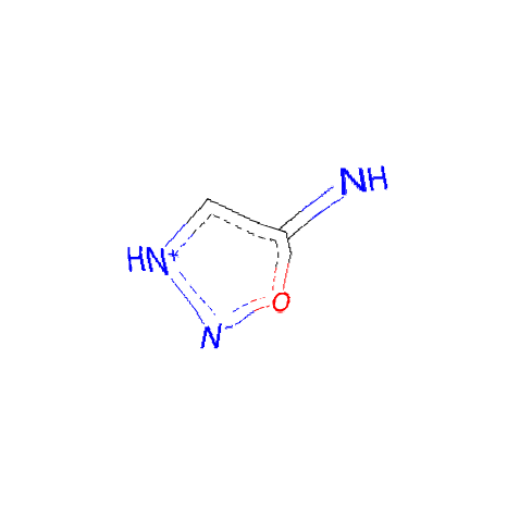 N=c1c[nH+][n-]o1